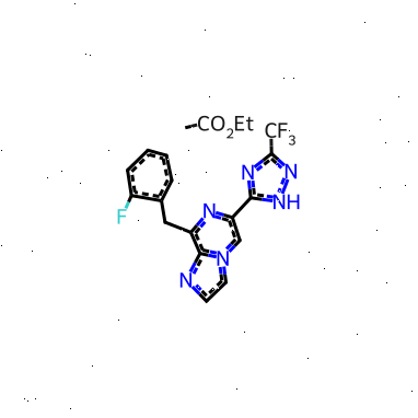 CCOC(C)=O.Fc1ccccc1Cc1nc(-c2nc(C(F)(F)F)n[nH]2)cn2ccnc12